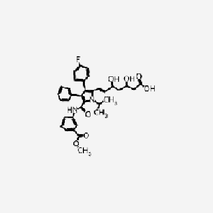 COC(=O)c1cccc(NC(=O)c2c(-c3ccccc3)c(-c3ccc(F)cc3)c(C=CC(O)CC(O)CC(=O)O)n2C(C)C)c1